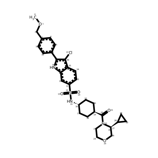 COCc1ccc(-c2[nH]c3cc(S(=O)(=O)N[C@H]4CC[C@H](C(=O)N5CCOC[C@@H]5C5CC5)CC4)ccc3c2Cl)cc1